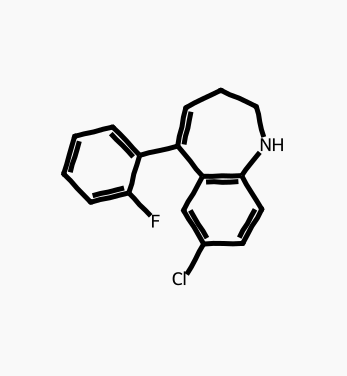 Fc1ccccc1C1=CCCNc2ccc(Cl)cc21